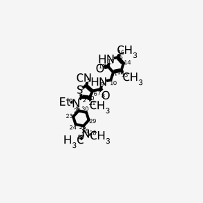 CCN(c1sc(C#N)c(C(=O)NCc2c(C)cc(C)[nH]c2=O)c1C)[C@H]1CC[C@H](N(C)C)CC1